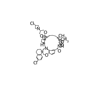 C[C@@H]1[C@@H](C)CCC[C@H]([C@H]2OC[C@@H](N3CC(Cl)C3)CO2)[C@@H]2CC[C@H]2CN2C[C@@]3(CCCc4cc(Cl)ccc43)COc3ccc(cc32)C(=O)NS1(=O)=O